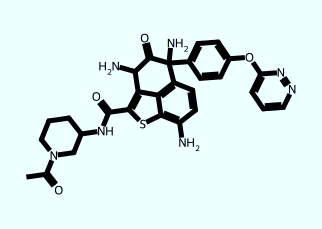 CC(=O)N1CCCC(NC(=O)c2sc3c(N)ccc4c3c2C(N)C(=O)C4(N)c2ccc(Oc3cccnn3)cc2)C1